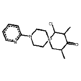 CC1C[N+]2(CCN(c3ccccn3)CC2)C(Cl)C(C)C1=O